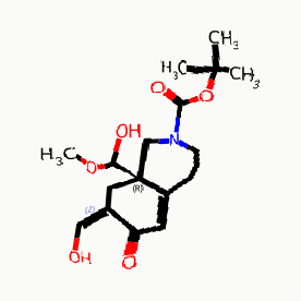 COC(O)[C@]12C/C(=C/O)C(=O)C=C1CCN(C(=O)OC(C)(C)C)C2